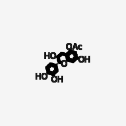 CC(=O)Oc1cc(O)cc2c1C[C@H](O)[C@@H](c1ccc(O)c(O)c1)O2